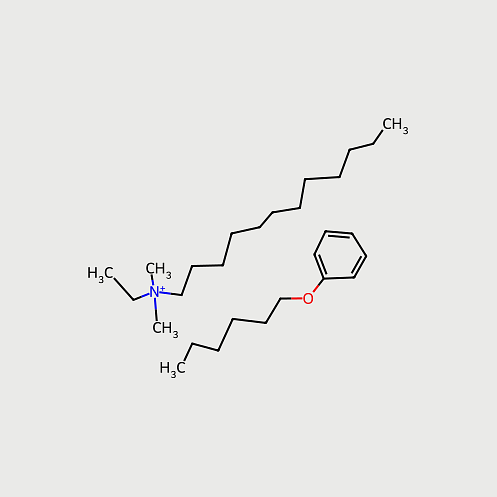 CCCCCCCCCCCC[N+](C)(C)CC.CCCCCCOc1ccccc1